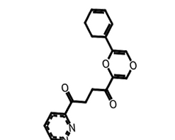 O=C(CCC(=O)c1cccnn1)C1=COC=C(C2=CC=CCC2)O1